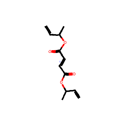 C=CC(C)OC(=O)/C=C/C(=O)OC(C)C=C